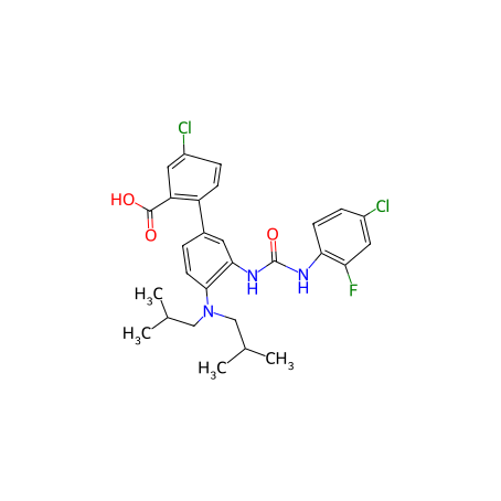 CC(C)CN(CC(C)C)c1ccc(-c2ccc(Cl)cc2C(=O)O)cc1NC(=O)Nc1ccc(Cl)cc1F